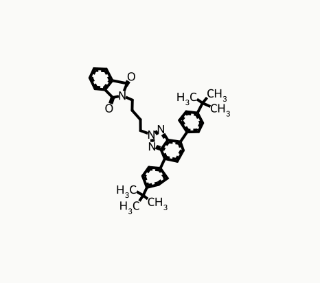 CC(C)(C)c1ccc(-c2ccc(-c3ccc(C(C)(C)C)cc3)c3nn(CCCCN4C(=O)c5ccccc5C4=O)nc23)cc1